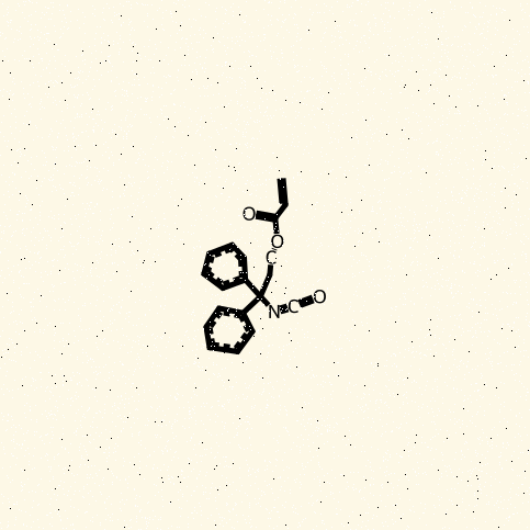 C=CC(=O)OCCC(N=C=O)(c1ccccc1)c1ccccc1